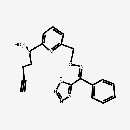 C#CCCN(C(=O)O)c1cccc(CON=C(c2ccccc2)c2nnn[nH]2)n1